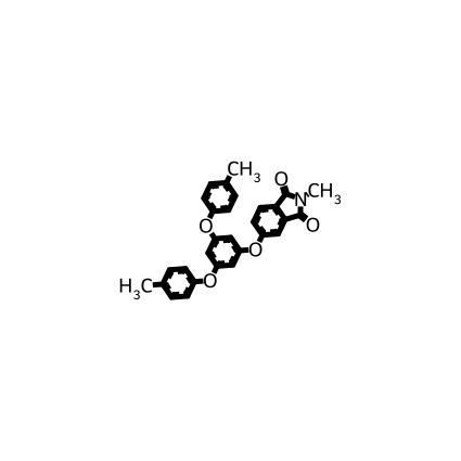 Cc1ccc(Oc2cc(Oc3ccc(C)cc3)cc(Oc3ccc4c(c3)C(=O)N(C)C4=O)c2)cc1